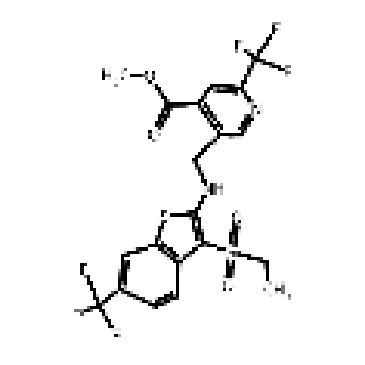 CCS(=O)(=O)c1c(NCc2cnc(C(F)(F)F)cc2C(=O)OC)sc2cc(C(F)(F)F)ccc12